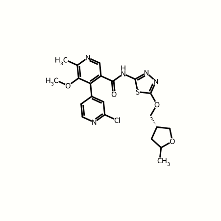 COc1c(C)ncc(C(=O)Nc2nnc(OC[C@@H]3COC(C)C3)s2)c1-c1ccnc(Cl)c1